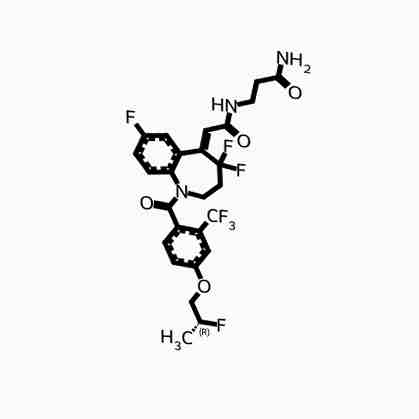 C[C@@H](F)COc1ccc(C(=O)N2CCC(F)(F)C(=CC(=O)NCCC(N)=O)c3cc(F)ccc32)c(C(F)(F)F)c1